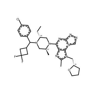 CC[C@@H]1CN(c2nc3nncn3c3c2nc(C)n3C[C@@H]2CCCO2)[C@@H](C)CN1C(c1ccc(Cl)cc1)C1CC(F)(F)C1